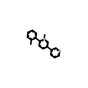 Cc1ccccc1-c1ccc(-c2cccnc2)c[n+]1C